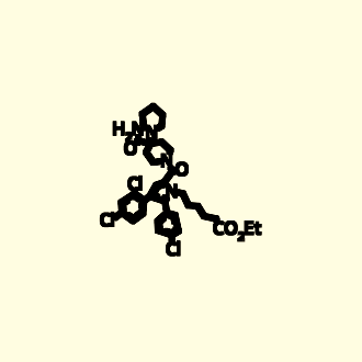 CCOC(=O)CCCCCn1c(C(=O)N2CCC(C(N)=O)(N3CCCCC3)CC2)cc(-c2ccc(Cl)cc2Cl)c1-c1ccc(Cl)cc1